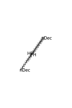 CCCCCCCCCCCCCCCCCCCCCCCCCPPCCCCCCCCCCCCCCCCCCCCCCCCC